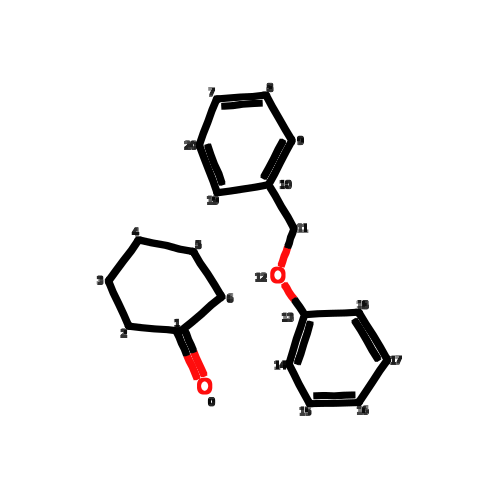 O=C1CCCCC1.c1ccc(COc2ccccc2)cc1